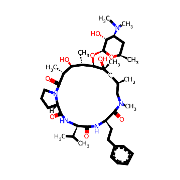 CC(C)[C@H]1NC(=O)[C@@H]2CCCN2C(=O)[C@H](C)[C@@H](O)[C@H](C)[C@@H](O[C@@H]2O[C@H](C)C[C@H](N(C)C)[C@H]2O)[C@](C)(O)C[C@@H](C)CN(C)C(=O)[C@@H](CCc2ccccc2)NC1=O